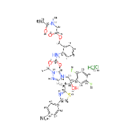 CC(OC(=O)Nc1ccccc1COC(=O)CN(C)C(=O)C(C)(C)C)n1c[n+](C[C@](O)(c2cc(F)ccc2F)[C@@H](C)c2nc(-c3ccc(C#N)cc3)cs2)cn1.Cl.[Cl-]